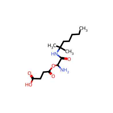 CCCCCC(C)(C)NC(=O)C(N)OC(=O)CCC(=O)O